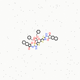 O=C1c2cc3ccccc3cc2C(=O)C1Nc1nc2sc3c(c2s1)OC(C(=O)OCc1ccccc1)(C(=O)OCc1ccccc1)c1c-3sc2c1SC(N=c1c(=O)c3cc4ccccc4cc3c1=O)N2